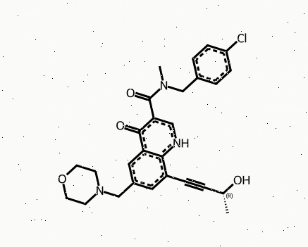 C[C@@H](O)C#Cc1cc(CN2CCOCC2)cc2c(=O)c(C(=O)N(C)Cc3ccc(Cl)cc3)c[nH]c12